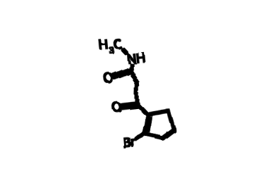 CNC(=O)CC(=O)C1=C(Br)CCC1